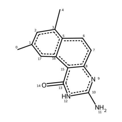 Cc1cc(C)c2ccc3nc(N)[nH]c(=O)c3c2c1